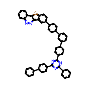 c1ccc(-c2ccc(-c3nc(-c4ccccc4)nc(-c4ccc(-c5cccc(-c6ccc(-c7ccc8sc9c%10ccccc%10nnc9c8c7)cc6)c5)cc4)n3)cc2)cc1